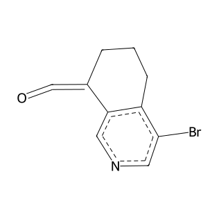 O=C=C1CCCc2c(Br)cncc21